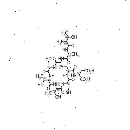 CC(C)C[C@H](NC(=O)[C@H](CS)NC(=O)[C@@H](NC(=O)[C@@H](NC(=O)[C@H](CO)NC(=O)CNC(=O)[C@H](C)NC(=O)[C@@H](N)[C@@H](C)O)[C@@H](C)O)[C@@H](C)O)C(=O)N[C@@H](CC(=O)O)C(=O)O